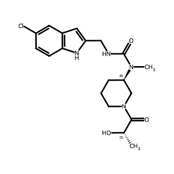 C[C@H](O)C(=O)N1CCC[C@@H](N(C)C(=O)NCc2cc3cc(Cl)ccc3[nH]2)C1